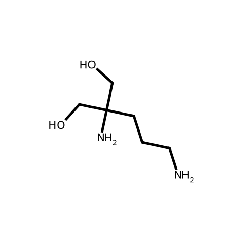 NCCCC(N)(CO)CO